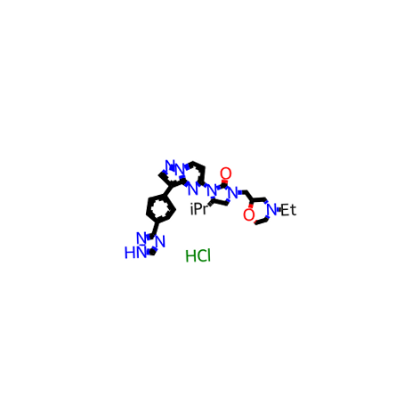 CCN1CCOC(CN2CC(C(C)C)N(c3ccn4ncc(-c5ccc(-c6nc[nH]n6)cc5)c4n3)C2=O)C1.Cl